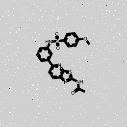 COc1ccc(S(=O)(=O)Nc2cccc(-c3ccc4nc(NC(C)=O)sc4n3)c2)cc1